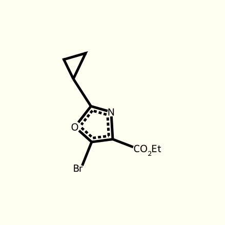 CCOC(=O)c1nc(C2CC2)oc1Br